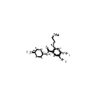 COCCOc1nc(N)c(N)cc1C(=O)NC1CCC(C(F)(F)F)CC1